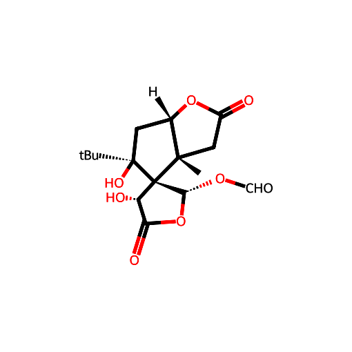 CC(C)(C)[C@]1(O)C[C@@H]2OC(=O)C[C@]2(C)[C@@]12[C@H](OC=O)OC(=O)[C@@H]2O